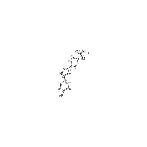 NS(=O)(=O)c1ccc(-n2cc(-c3ccc(F)cc3)nn2)cc1